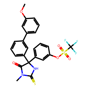 COc1cccc(-c2cccc(C3(c4cccc(OS(=O)(=O)C(F)(F)F)c4)NC(=S)N(C)C3=O)c2)c1